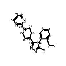 CCc1ccccc1-n1c(C)nnc1C1CCN(c2ncccn2)CC1